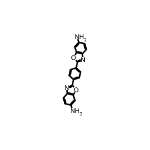 Nc1ccc2nc(-c3ccc(-c4nc5ccc(N)cc5o4)cc3)oc2c1